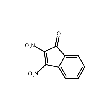 O=C1C([N+](=O)[O-])=C([N+](=O)[O-])c2ccccc21